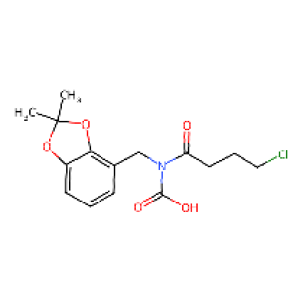 CC1(C)Oc2cccc(CN(C(=O)O)C(=O)CCCCl)c2O1